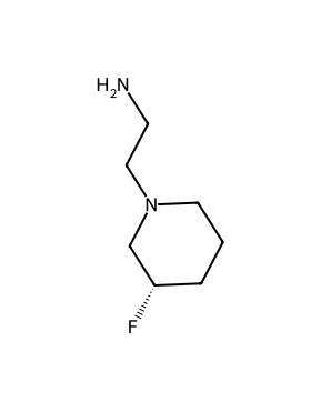 NCCN1CCC[C@H](F)C1